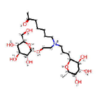 CC(=O)CCCCCN(CCC[C@@H]1O[C@@H](C)[C@@H](O)[C@@H](O)[C@@H]1O)CCO[C@H]1O[C@H](CO)[C@@H](O)[C@H](O)[C@H]1O